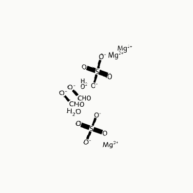 O.O.O=C[O-].O=C[O-].O=S(=O)([O-])[O-].O=S(=O)([O-])[O-].[Mg+2].[Mg+2].[Mg+2]